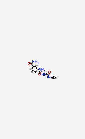 CCCCNC(=O)NCC(=O)Nc1cccc(C(N)=O)c1